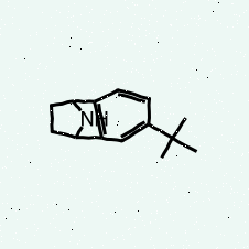 CC(C)(C)c1ccc2c(c1)C1CCC2N1